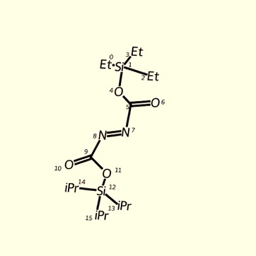 CC[Si](CC)(CC)OC(=O)/N=N/C(=O)O[Si](C(C)C)(C(C)C)C(C)C